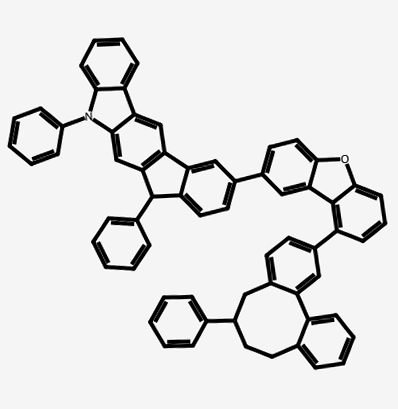 c1ccc(C2CCc3ccccc3-c3cc(-c4cccc5oc6ccc(-c7ccc8c(c7)-c7cc9c%10ccccc%10n(-c%10ccccc%10)c9cc7C8c7ccccc7)cc6c45)ccc3C2)cc1